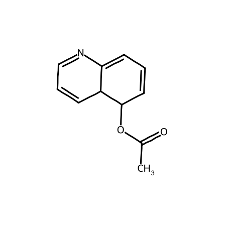 CC(=O)OC1C=CC=C2N=CC=CC21